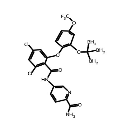 BC(B)(B)Oc1cc(OC(F)(F)F)ccc1Oc1cc(Cl)cc(Cl)c1C(=O)Nc1ccc(C(N)=O)nc1